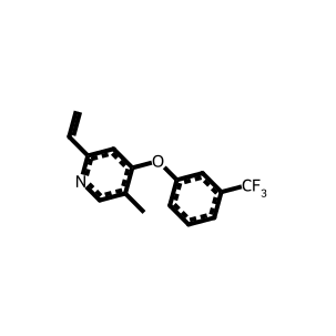 C=Cc1cc(Oc2cccc(C(F)(F)F)c2)c(C)cn1